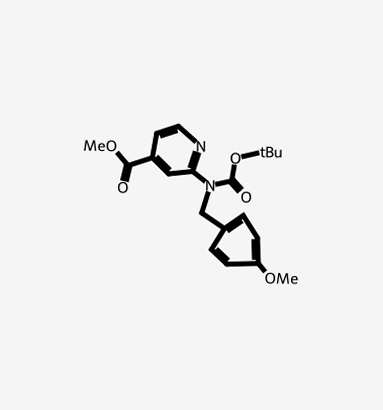 COC(=O)c1ccnc(N(Cc2ccc(OC)cc2)C(=O)OC(C)(C)C)c1